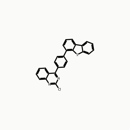 Clc1nc(-c2ccc(-c3cccc4c3sc3ccccc34)cc2)c2ccccc2n1